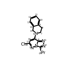 CC(C)c1nnc2c(N3CCc4ccccc4C3)cc(Cl)nn12